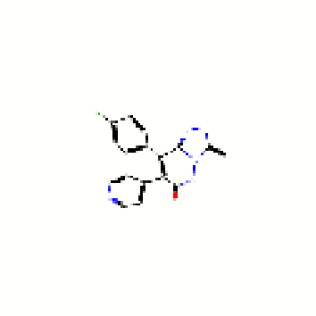 C=C1NN=C2C(c3ccc(Cl)cc3)=C(c3ccncc3)C(=O)NN12